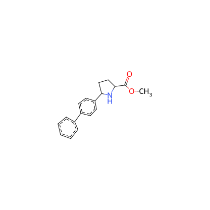 COC(=O)C1CCC(c2ccc(-c3ccccc3)cc2)N1